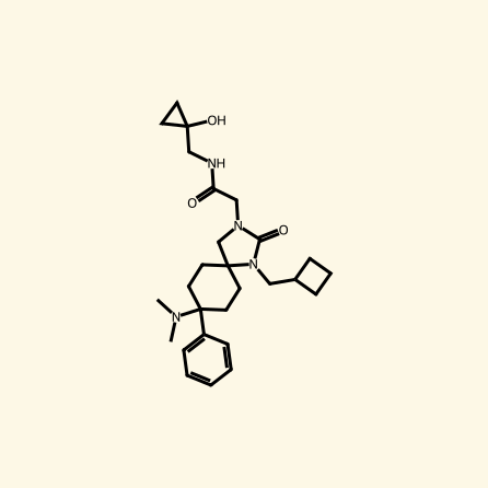 CN(C)C1(c2ccccc2)CCC2(CC1)CN(CC(=O)NCC1(O)CC1)C(=O)N2CC1CCC1